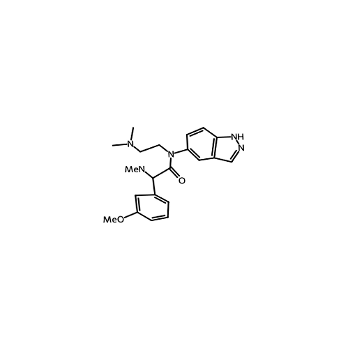 CNC(C(=O)N(CCN(C)C)c1ccc2[nH]ncc2c1)c1cccc(OC)c1